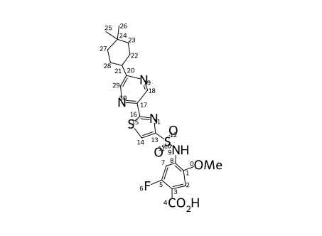 COc1cc(C(=O)O)c(F)cc1NS(=O)(=O)c1csc(-c2cnc(C3CCC(C)(C)CC3)cn2)n1